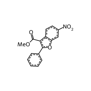 COC(=O)c1c(-c2ccccc2)oc2cc([N+](=O)[O-])ccc12